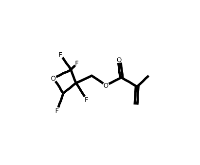 C=C(C)C(=O)OCC1(F)C(F)OC1(F)F